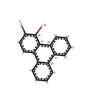 Ic1ccc2c3ccccc3c3ccccc3c2c1I